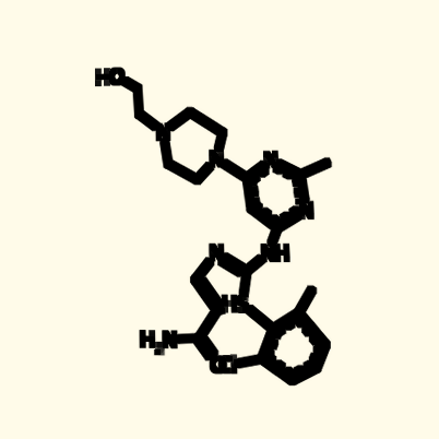 Cc1nc(NC2=NC=C(C(N)=O)[SH]2c2c(C)cccc2Cl)cc(N2CCN(CCO)CC2)n1